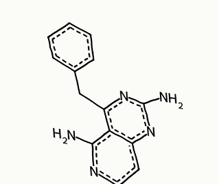 Nc1nc(Cc2ccccc2)c2c(N)nccc2n1